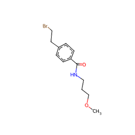 COCCCNC(=O)c1ccc(CCBr)cc1